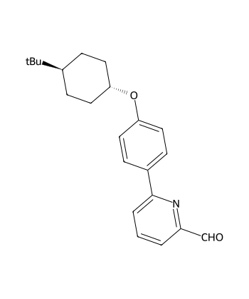 CC(C)(C)[C@H]1CC[C@H](Oc2ccc(-c3cccc(C=O)n3)cc2)CC1